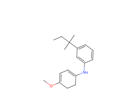 CCC(C)(C)c1cccc(NC2=CC=C(OC)CC2)c1